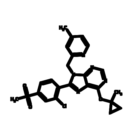 Cc1ccnc(Cn2c(-c3ccc(S(C)(=O)=O)cc3Cl)nc3c(OC4(C)CC4)ncnc32)c1